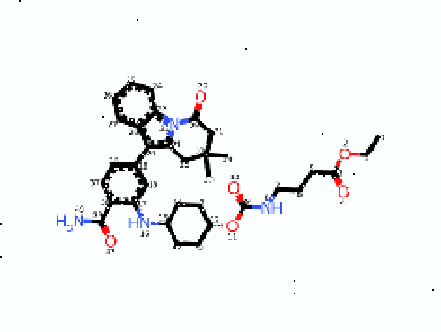 CCOC(=O)CCCNC(=O)O[C@H]1CC[C@H](Nc2cc(-c3c4n(c5ccccc35)C(=O)CC(C)(C)C4)ccc2C(N)=O)CC1